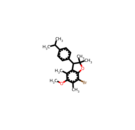 COc1c(C)c(Br)c2c(c1C)C(c1ccc(C(C)C)cc1)C(C)(C)O2